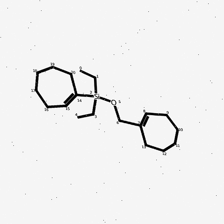 CC[Si](CC)(OCC1=CCCCCC1)C1=CCCCCC1